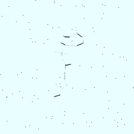 Cc1cccn2c(C(C)(C)NC(=O)C3C4CN(C(=O)OC(C)(C)C)CC43)nc(C)c12